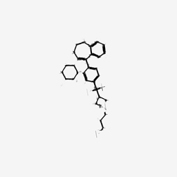 C[C@H]1CC[C@@H](C2=C(c3ccc(C(F)(F)C4CN(CCCF)C4)cc3)c3ccccc3CCC2)CC1